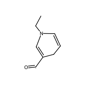 CCN1C=CCC([C]=O)=C1